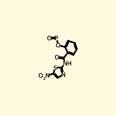 O=POc1ccccc1C(=O)Nc1ncc([N+](=O)[O-])s1